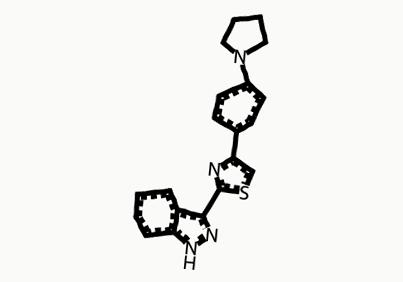 c1ccc2c(-c3nc(-c4ccc(N5CCCC5)cc4)cs3)n[nH]c2c1